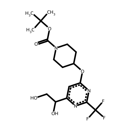 CC(C)(C)OC(=O)N1CCC(Oc2cc(C(O)CO)nc(C(F)(F)F)n2)CC1